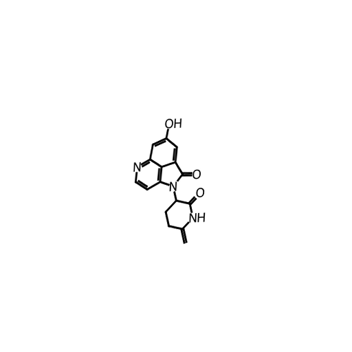 C=C1CCC(N2C(=O)c3cc(O)cc4nccc2c34)C(=O)N1